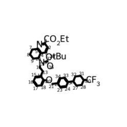 CCOC(=O)c1ccc2c(n1)CCCC2N(CCc1ccccc1OCc1ccc(C2CCC(C(F)(F)F)CC2)cc1)C(=O)OC(C)(C)C